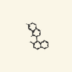 Cc1ccc2ccccc2c1-c1ccc2ccc(Br)cc2c1F